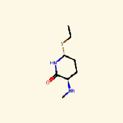 CCS[C@@H]1CC[C@@H](NC)C(=O)N1